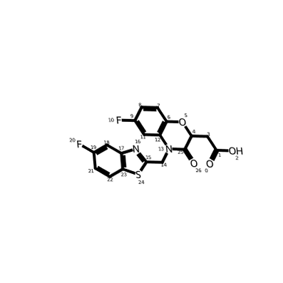 O=C(O)CC1Oc2ccc(F)cc2N(Cc2nc3cc(F)ccc3s2)C1=O